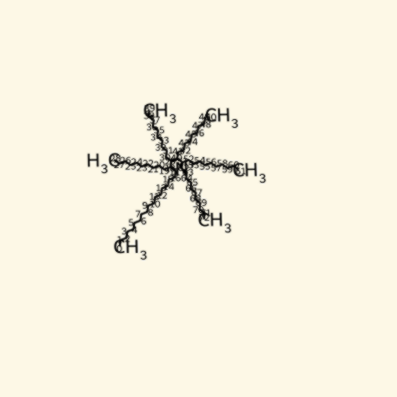 CCCCCCCCCCCCCCCCCc1c(CCCCCCCCCC)c(CCCCCCCCCC)c(CCCCCCCCCC)c(CCCCCCCCCC)[n+]1CCCCCCCCCC